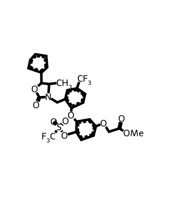 COC(=O)COc1ccc(OS(=O)(=O)C(F)(F)F)c(Oc2ccc(C(F)(F)F)cc2CN2C(=O)OC(c3ccccc3)C2C)c1